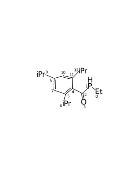 CCPC(=O)c1c(C(C)C)cc(C(C)C)cc1C(C)C